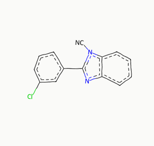 N#Cn1c(-c2cccc(Cl)c2)nc2ccccc21